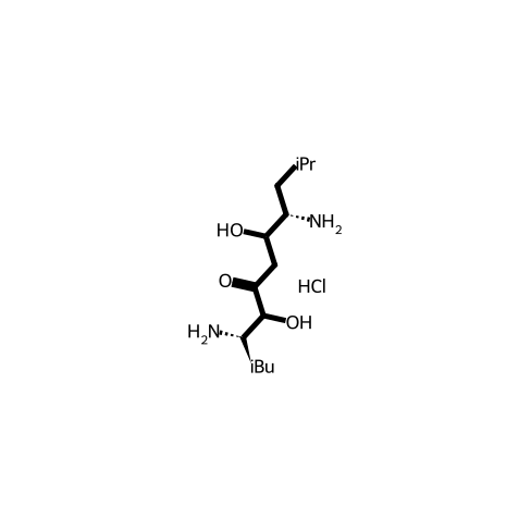 CC[C@H](C)[C@H](N)C(O)C(=O)CC(O)[C@@H](N)CC(C)C.Cl